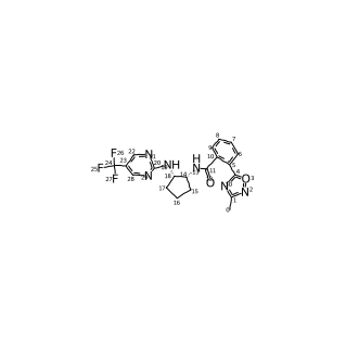 Cc1noc(-c2ccccc2C(=O)N[C@@H]2CCC[C@@H]2Nc2ncc(C(F)(F)F)cn2)n1